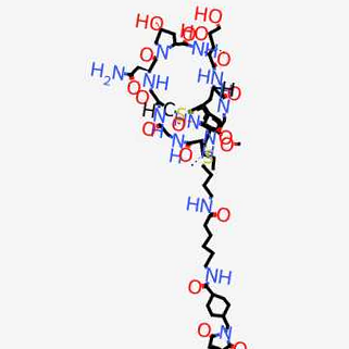 CC[C@H](C)[C@@H]1NC(=O)CNC(=O)[C@@H]2Cc3c([nH]c4c(CSCCCCNC(=O)CCCCCNC(=O)C5CCC(CN6C(=O)C=CC6=O)CC5)c(OC)ccc34)[S+]([O-])C[C@H](NC(=O)CNC1=O)C(=O)N[C@@H](CC(N)=O)C(=O)N1C[C@H](O)CC1C(=O)N[C@@H]([C@@H](C)[C@@H](O)CO)C(=O)N2